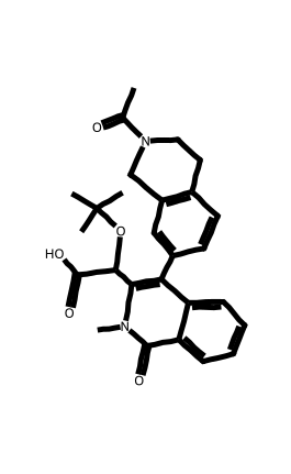 CC(=O)N1CCc2ccc(-c3c(C(OC(C)(C)C)C(=O)O)n(C)c(=O)c4ccccc34)cc2C1